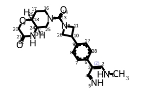 CN/C=C(\C=N)c1ccc(C2CN(C(=O)N3CC[C@@H]4OCC(=O)N[C@@H]4C3)C2)cc1